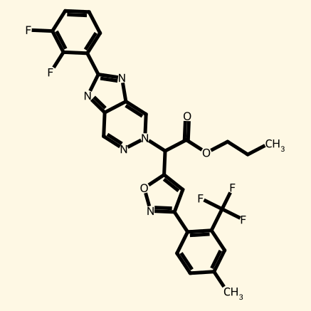 CCCOC(=O)C(c1cc(-c2ccc(C)cc2C(F)(F)F)no1)n1cc2nc(-c3cccc(F)c3F)nc-2cn1